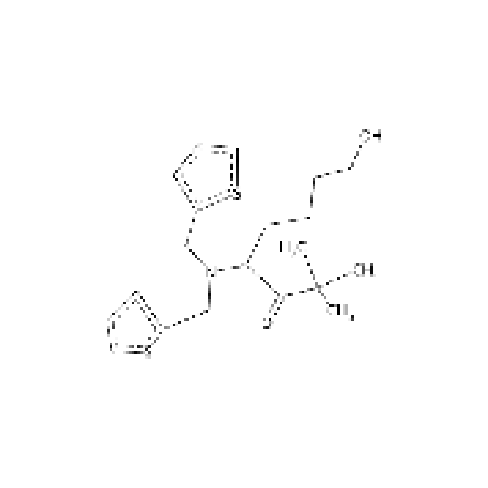 CC(C)(C)C(=O)[C](CCCCO)N(Cc1cccs1)Cc1cccs1